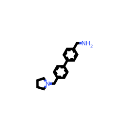 NCc1ccc(-c2ccc(CN3CCCC3)cc2)cc1